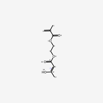 C=C(C)C(=O)OCCOC(=O)/C=C(/C)O